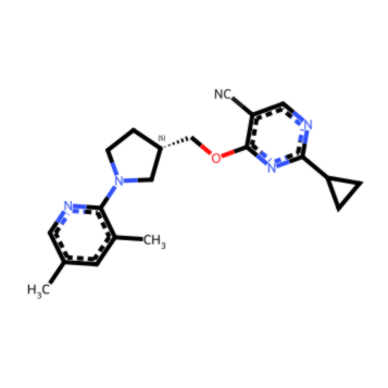 Cc1cnc(N2CC[C@H](COc3nc(C4CC4)ncc3C#N)C2)c(C)c1